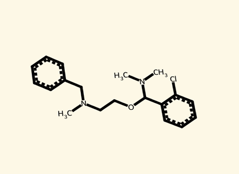 CN(CCOC(c1ccccc1Cl)N(C)C)Cc1ccccc1